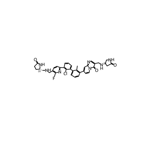 Cc1c(-c2ccn3c(=O)c(CN[C@@H]4CNC(=O)C4)cnc3c2)cccc1-c1cccc(-c2ccc(CNC[C@@H]3CCC(=O)N3)c(F)n2)c1Cl